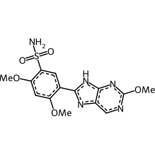 COc1ncc2nc(-c3cc(S(N)(=O)=O)c(OC)cc3OC)[nH]c2n1